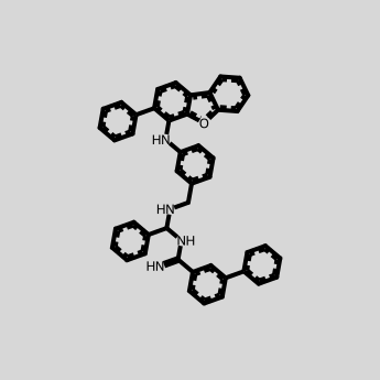 N=C(NC(NCc1cccc(Nc2c(-c3ccccc3)ccc3c2oc2ccccc23)c1)c1ccccc1)c1cccc(-c2ccccc2)c1